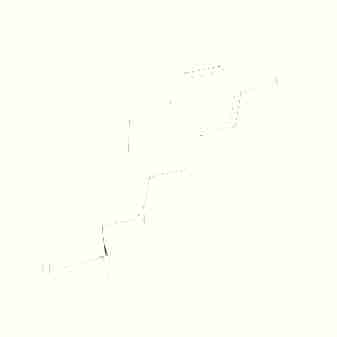 O=C(O)CNC1CCc2c(F)cc(F)cc2C1